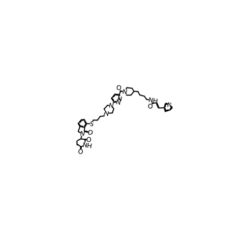 O=C(/C=C/c1cccnc1)NCCCCC1CCN(C(=O)c2ccc(N3CCN(CCCCSc4cccc5c4C(=O)N(C4CCC(=O)NC4=O)C5)CC3)nn2)CC1